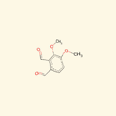 COc1ccc(C=O)c(C=O)c1OC